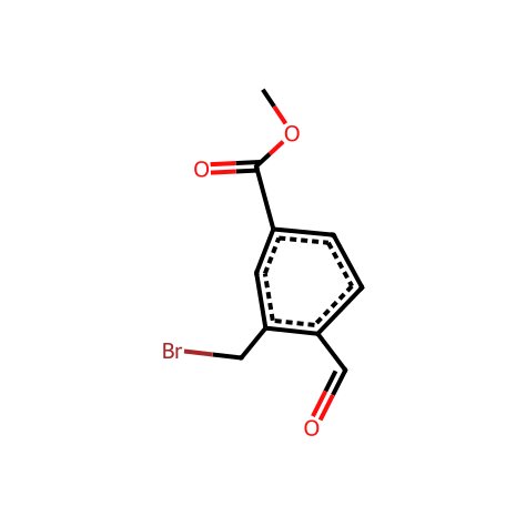 COC(=O)c1ccc(C=O)c(CBr)c1